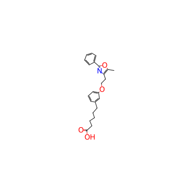 Cc1oc(-c2ccccc2)nc1CCOc1cccc(CCCCCC(=O)O)c1